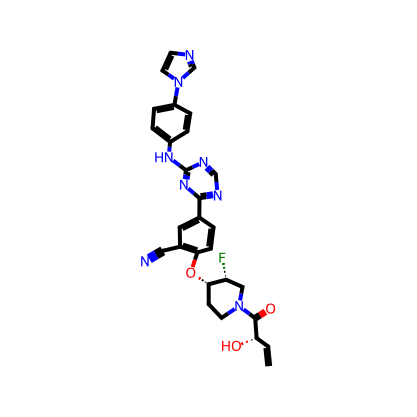 C=C[C@H](O)C(=O)N1CC[C@H](Oc2ccc(-c3ncnc(Nc4ccc(-n5ccnc5)cc4)n3)cc2C#N)[C@H](F)C1